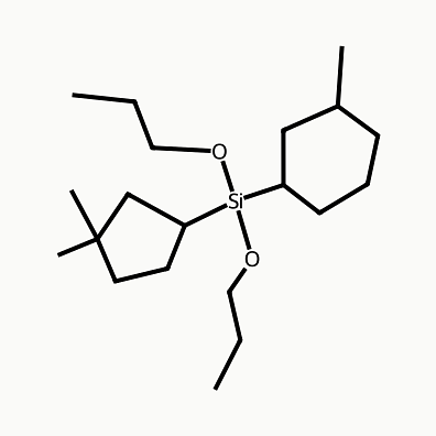 CCCO[Si](OCCC)(C1CCCC(C)C1)C1CCC(C)(C)C1